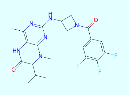 Cc1nc(NC2CN(C(=O)c3cc(F)c(F)c(F)c3)C2)nc2c1NC(=O)C(C(C)C)N2C